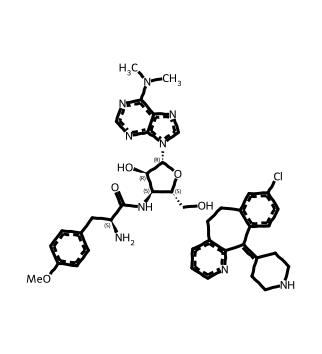 COc1ccc(C[C@H](N)C(=O)N[C@H]2[C@@H](O)[C@H](n3cnc4c(N(C)C)ncnc43)O[C@@H]2CO)cc1.Clc1ccc2c(c1)CCc1cccnc1C2=C1CCNCC1